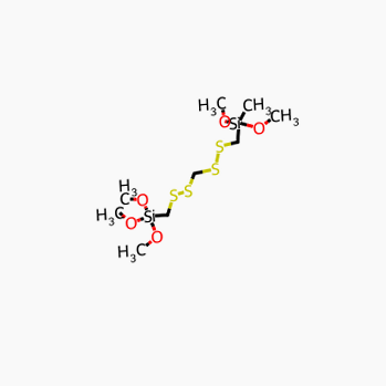 CO[Si](C)(CSSCSSC[Si](OC)(OC)OC)OC